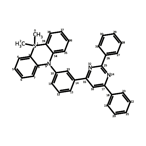 CS1(C)c2ccccc2N(c2cccc(-c3cc(-c4ccccc4)nc(-c4ccccc4)n3)c2)c2ccccc21